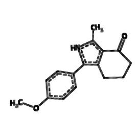 COc1ccc(-c2[nH]c(C)c3c2CCCC3=O)cc1